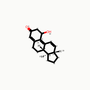 O=C1C=C2CC[C@@H]3C(=C2C(O)C1)C=C[C@@H]1CCC[C@H]13